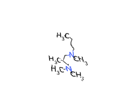 CCCCN(C)CC(C)CN(C)C